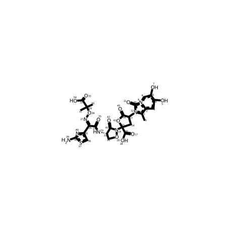 Cc1c2cc(O)c(O)cn2c(=O)n1C1CC(C(=O)O)(N2OC[C@H](NC(=O)/C(=N\OC(C)(C)C(=O)O)c3csc(N)n3)C2=O)OC1=O